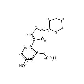 O=C(O)Cc1cc(O)ccc1C1=NCC(C2CCCCC2)O1